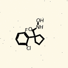 O=C(NO)C1(c2c(F)cccc2Cl)CCCC1